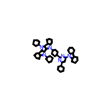 c1ccc(-c2cc(-n3c4ccccc4c4ccccc43)nc(-c3ccc(-n4c5ccccc5c5c4c4c(c6ccccc6n4-c4ccccc4)n5-c4ccccc4)cc3)n2)cc1